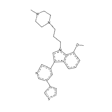 COc1cccc2c(-c3cncc(-c4ccsc4)c3)cn(CCCN3CCN(C)CC3)c12